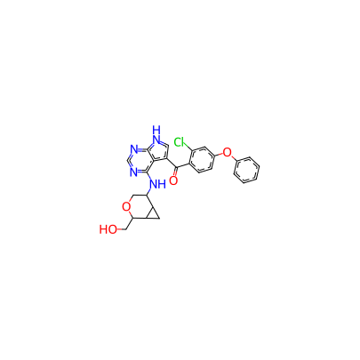 O=C(c1ccc(Oc2ccccc2)cc1Cl)c1c[nH]c2ncnc(NC3COC(CO)C4CC34)c12